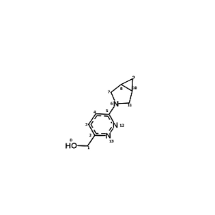 OCc1ccc(N2CC3CC3C2)nn1